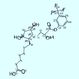 O=C(O)CCCCCC[C@@H]1[C@@H](CCC(O)C(=O)Oc2cccc(C(F)(F)F)c2)[C@H](O)C[C@@H]1O